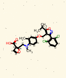 Cc1cc(OCc2c(-c3c(Cl)cccc3Cl)noc2C(C)C)ccc1N(C)Cc1occc1C(=O)O